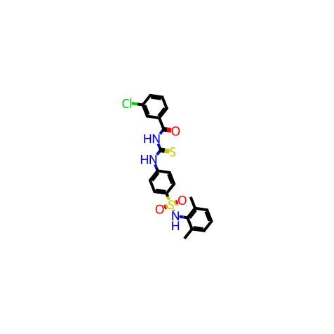 Cc1cccc(C)c1NS(=O)(=O)c1ccc(NC(=S)NC(=O)c2cccc(Cl)c2)cc1